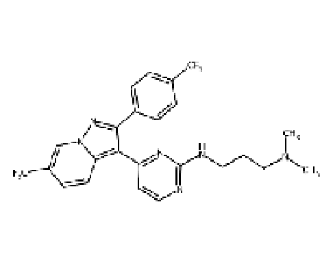 CN(C)CCCNc1nccc(-c2c(-c3ccc(C(F)(F)F)cc3)nn3cc(C(F)(F)F)ccc23)n1